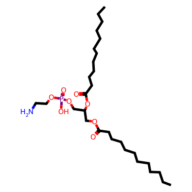 CCCCCCCCCCCC(=O)OCC(COP(=O)(O)OCCN)OC(=O)CCCCCCCCCCC